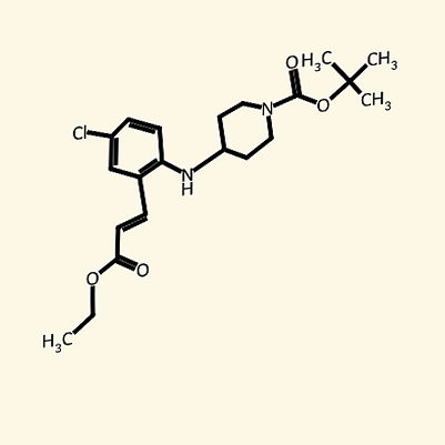 CCOC(=O)C=Cc1cc(Cl)ccc1NC1CCN(C(=O)OC(C)(C)C)CC1